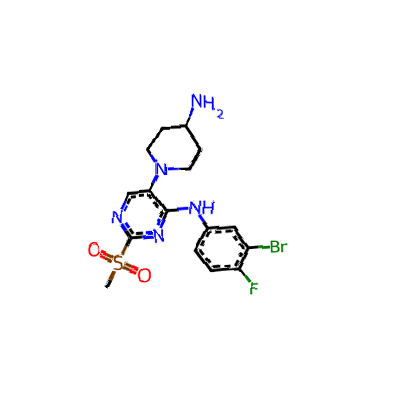 CS(=O)(=O)c1ncc(N2CCC(N)CC2)c(Nc2ccc(F)c(Br)c2)n1